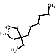 CCCCCCC(CC)(CC)O[SiH3]